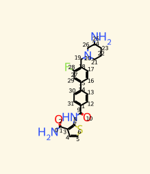 NC(=O)c1ccsc1NC(=O)c1ccc(-c2ccc(CN3CCCC(N)C3)c(F)c2)cc1